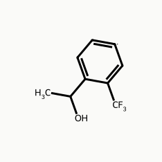 CC(O)c1cc[c]cc1C(F)(F)F